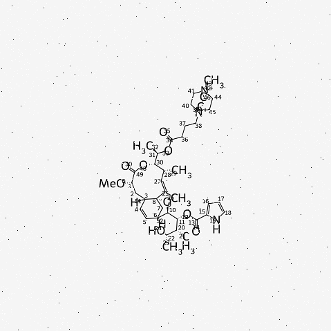 CO[C@H]1C[C@H]2C=C[C@@H]3C[C@]2(O[C@H]3[C@H](OC(=O)c2ccc[nH]2)[C@H](C)[C@H](C)O)/C(C)=C/[C@@H](C)[C@@H]([C@@H](C)OC(=O)CCC[N+]23CC[N+](C)(CC2)CC3)OC1=O